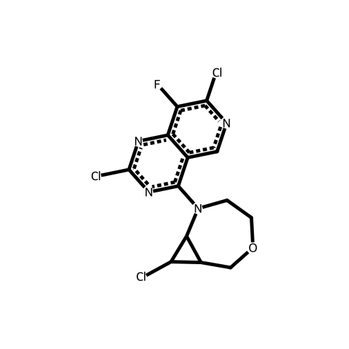 Fc1c(Cl)ncc2c(N3CCOCC4C(Cl)C43)nc(Cl)nc12